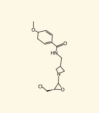 COC1C=CC(C(=O)NCC2CN(C3O[C@H]3CCl)C2)=CC1